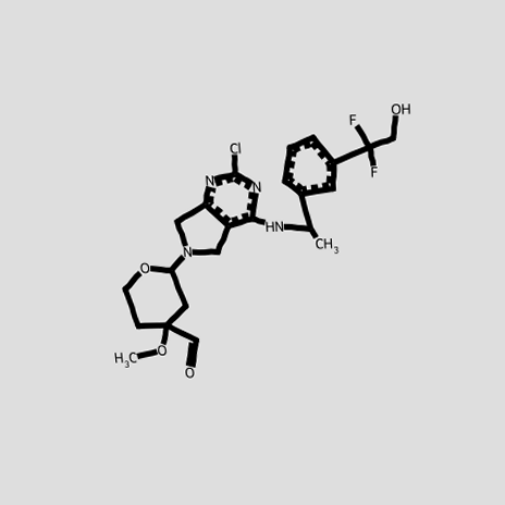 COC1(C=O)CCOC(N2Cc3nc(Cl)nc(NC(C)c4cccc(C(F)(F)CO)c4)c3C2)C1